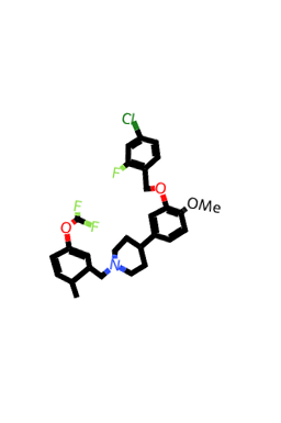 COc1ccc(C2CCN(CC3C=C(OC(F)F)C=CC3C)CC2)cc1OCc1ccc(Cl)cc1F